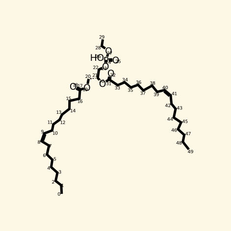 CCCCCCCC/C=C\CCCCCCCC(=O)OC[C@H](COP(=O)(O)OCC)OC(=O)CCCCCCC/C=C\CCCCCCCC